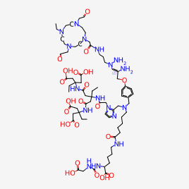 CCN1CCN(CC=O)CCN(CC(=O)NCCCN(N)/C=C(\N)COc2ccc(CN(CCCCCC(=O)NCCCCC(NC(=O)NCC(=O)O)C(=O)O)Cc3nccn3CC(=O)NC(CC)(CC(=O)NC(CC)(CC(=O)O)CC(=O)O)CC(=O)NC(CC)(CC(=O)O)CC(=O)O)cc2)CCN(CC=O)CC1